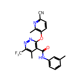 Cc1cccc(NC(=O)c2c(Oc3ccc(C#N)nc3C)nnc(C(F)(F)F)c2C)c1